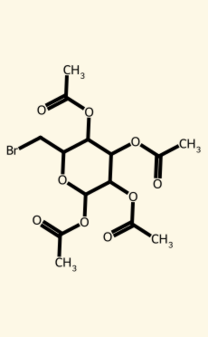 CC(=O)OC1OC(CBr)C(OC(C)=O)C(OC(C)=O)C1OC(C)=O